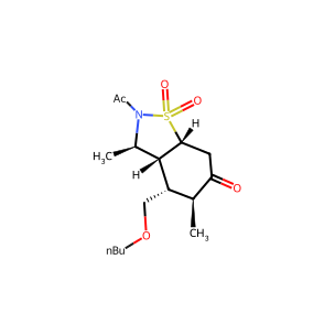 CCCCOC[C@@H]1[C@@H]2[C@@H](C)N(C(C)=O)S(=O)(=O)[C@@H]2CC(=O)[C@H]1C